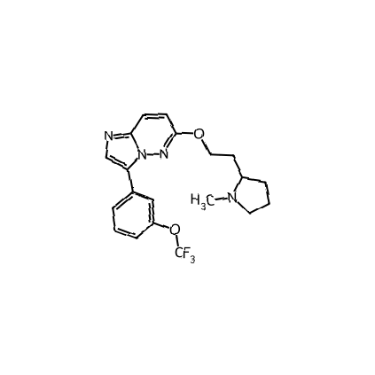 CN1CCCC1CCOc1ccc2ncc(-c3cccc(OC(F)(F)F)c3)n2n1